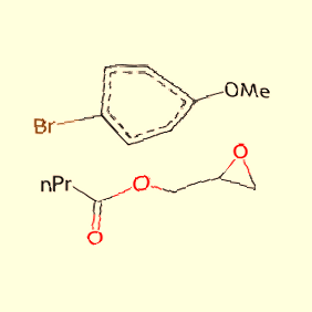 CCCC(=O)OCC1CO1.COc1ccc(Br)cc1